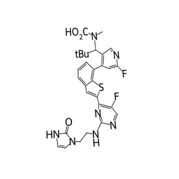 CN(C(=O)O)C(c1cnc(F)cc1-c1cccc2cc(-c3nc(NCCn4cc[nH]c4=O)ncc3F)sc12)C(C)(C)C